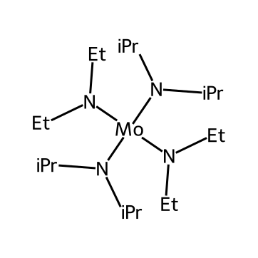 CC[N](CC)[Mo]([N](CC)CC)([N](C(C)C)C(C)C)[N](C(C)C)C(C)C